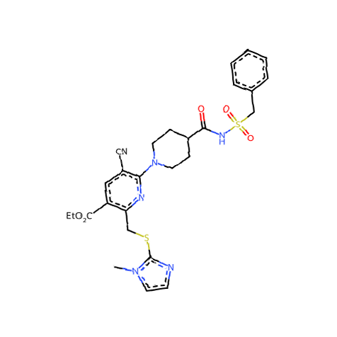 CCOC(=O)c1cc(C#N)c(N2CCC(C(=O)NS(=O)(=O)Cc3ccccc3)CC2)nc1CSc1nccn1C